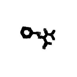 CC(=O)/C(=N/Nc1ccccc1)C(=O)N(C)C